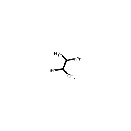 [CH2]C(C(C)C)C(C)CCC